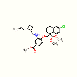 C=CC[C@@H]1CC[C@H]1CNc1cc(C(=O)OC)ccc1OC[C@@]1(C(OC)OC)CCCc2cc(Cl)ccc21